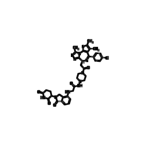 Cc1sc2c(c1C)C(c1ccc(Cl)cc1)=N[C@@H](CC(=O)N1CCN(NC(=O)CNc3cccc4c3CN(C3CCC(=O)NC3=O)C4=O)CC1)c1nnc(C)n1-2